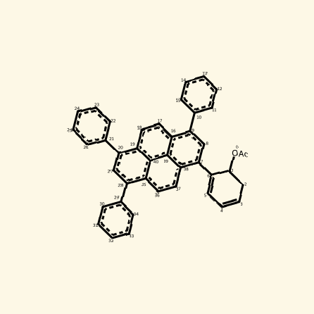 CC(=O)OC1CC=CC=C1c1cc(-c2ccccc2)c2ccc3c(-c4ccccc4)cc(-c4ccccc4)c4ccc1c2c43